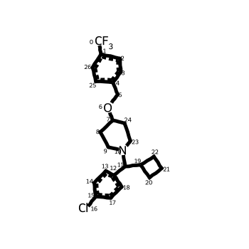 FC(F)(F)c1ccc(COC2CCN(C(c3ccc(Cl)cc3)C3CCC3)CC2)cc1